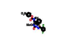 CON(C)C(=O)N1N=C(c2cc(F)ccc2F)S[C@@]1(CCCN(C)C(=O)Oc1ccc([N+](=O)[O-])cc1)c1ccccc1